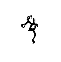 O=C(O)c1cc(CCF)n[nH]1